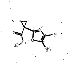 CC(C)(C)OC(=O)C1(c2nc(O)c(N)o2)CC1